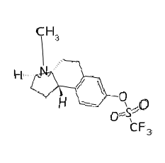 CN1C[C@H]2CC[C@H]3c4ccc(OS(=O)(=O)C(F)(F)F)cc4CC[C@]23C1